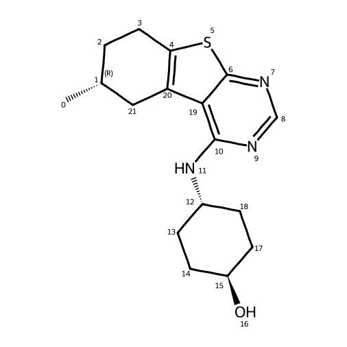 C[C@@H]1CCc2sc3ncnc(N[C@H]4CC[C@H](O)CC4)c3c2C1